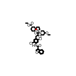 CCOC(=O)[C@H]1CC[C@H](OC(C(=O)Cc2cc(Cl)c(NC(=O)c3coc4ccccc34)cc2Cl)(N2CCCC2)N2CCC(OCC)CC2)CC1